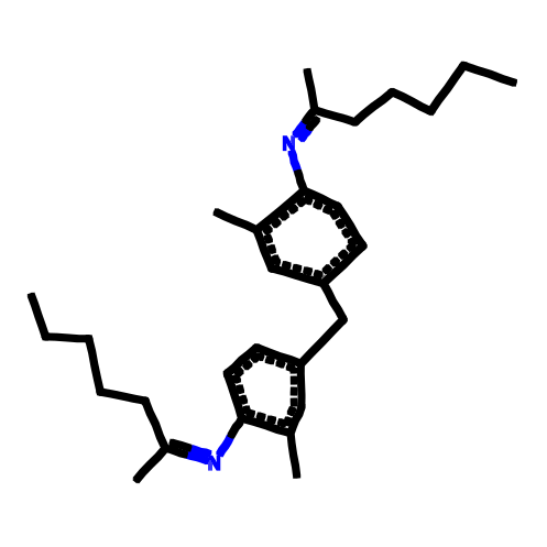 CCCCCC(C)=Nc1ccc(Cc2ccc(N=C(C)CCCCC)c(C)c2)cc1C